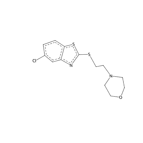 Clc1ccc2sc(SCCN3CCOCC3)nc2c1